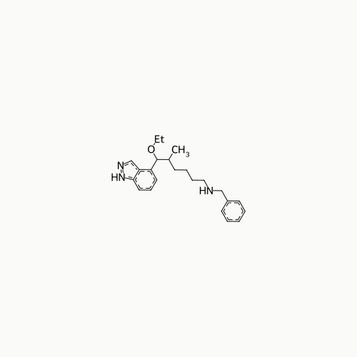 CCOC(c1cccc2[nH]ncc12)C(C)CCCCNCc1ccccc1